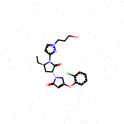 CC[C@@H]1C[C@@H](N2CC(Oc3ccccc3Cl)=CC2=O)C(=O)N1c1ccn(CCCO)n1